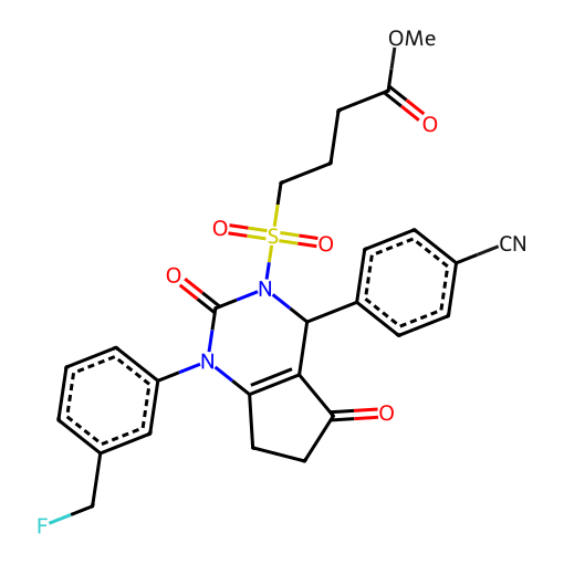 COC(=O)CCCS(=O)(=O)N1C(=O)N(c2cccc(CF)c2)C2=C(C(=O)CC2)C1c1ccc(C#N)cc1